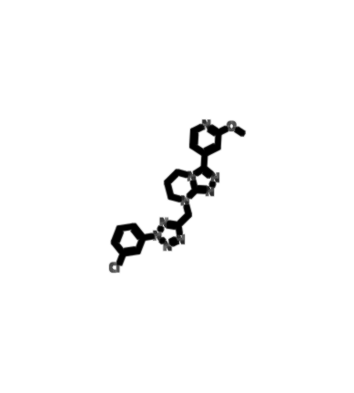 COc1cc(-c2nnc3n2CCCN3Cc2nnn(-c3cccc(Cl)c3)n2)ccn1